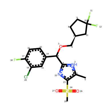 Cc1[nH]c(C(OC[C@H]2CCC(F)(F)C2)c2ccc(F)c(Cl)c2)nc1S(C)(=O)=O